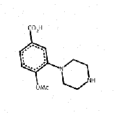 COc1ccc(C(=O)O)cc1N1CCNCC1